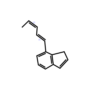 C/C=C\C=C\c1cccc2c1CC=C2